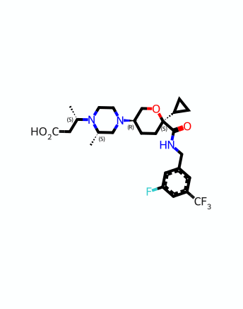 C[C@@H](CC(=O)O)N1CCN([C@@H]2CC[C@@](C(=O)NCc3cc(F)cc(C(F)(F)F)c3)(C3CC3)OC2)C[C@@H]1C